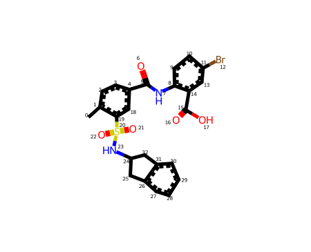 Cc1ccc(C(=O)Nc2ccc(Br)cc2C(=O)O)cc1S(=O)(=O)NC1Cc2ccccc2C1